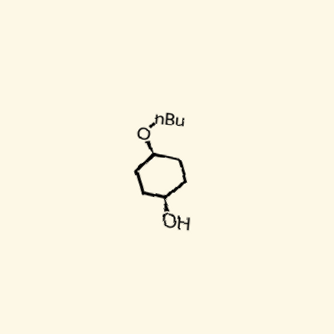 CCCCO[C@H]1CC[C@@H](O)CC1